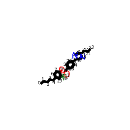 CCCCCc1ccc(OC(=O)c2ccc(-c3cnc(CCC)cn3)cc2)c(F)c1